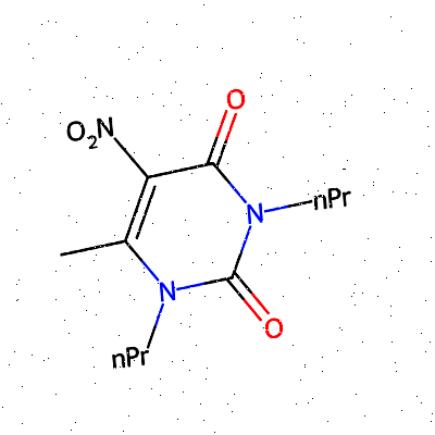 CCCn1c(C)c([N+](=O)[O-])c(=O)n(CCC)c1=O